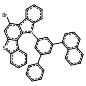 Brc1cc2sc3ccccc3c2c2c1c1ccccc1n2-c1cc(-c2ccccc2)cc(-c2cccc3ccccc23)c1